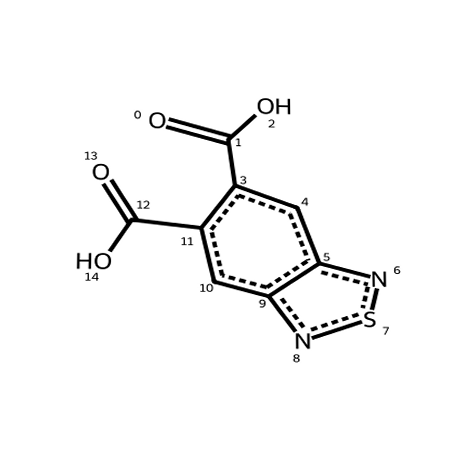 O=C(O)c1cc2nsnc2cc1C(=O)O